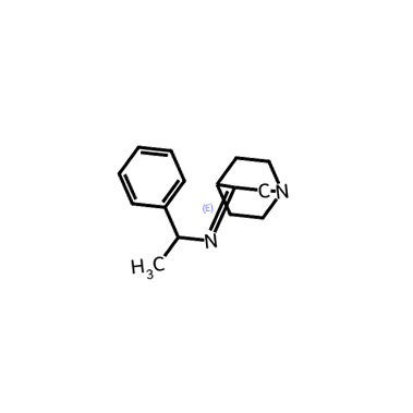 CC(/N=C1/CN2CCC1CC2)c1ccccc1